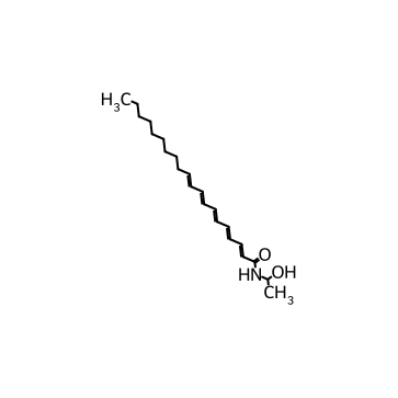 CCCCCCCCC/C=C/C=C/C=C/C=C/C=C/C(=O)NC(C)O